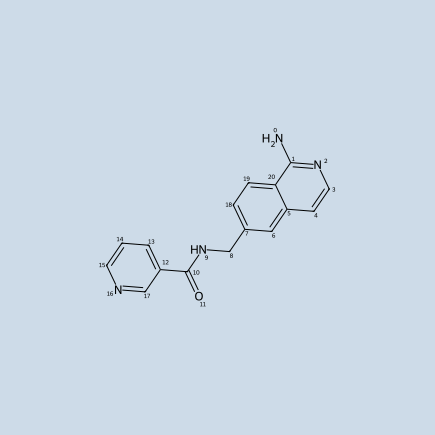 Nc1nccc2cc(CNC(=O)c3cccnc3)ccc12